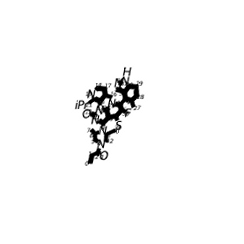 C=CC(=O)N1CC(C)N2c3nc(=O)n(-c4c(C)ccnc4C(C)C)c4nc(-c5c(C)ccc6[nH]ncc56)c(F)c(c34)SCC2C1